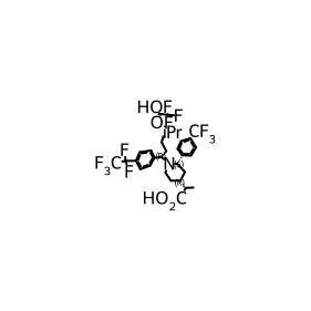 CC(C)CC[C@H](c1ccc(C(F)(F)C(F)(F)F)cc1)N1CC[C@@H](C(C)C(=O)O)C[C@H]1c1ccc(C(F)(F)F)cc1.O=C(O)C(F)(F)F